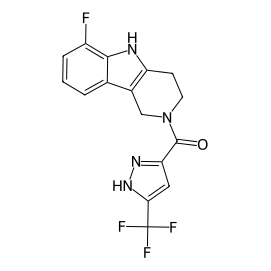 O=C(c1cc(C(F)(F)F)[nH]n1)N1CCc2[nH]c3c(F)cccc3c2C1